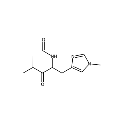 CC(C)C(=O)C(Cc1cn(C)cn1)NC=O